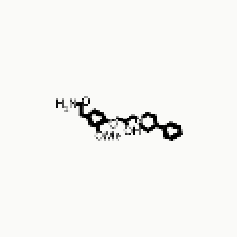 COc1cc(CC(N)=O)ccc1OCC(O)CN1CCC(c2ccccc2)CC1